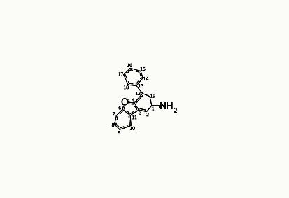 NC1C=c2c(oc3ccccc23)=C(c2ccccc2)C1